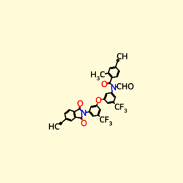 C#Cc1ccc(C(=O)N(C=O)c2cc(Oc3cc(N4C(=O)c5ccc(C#C)cc5C4=O)cc(C(F)(F)F)c3)cc(C(F)(F)F)c2)c(C)c1